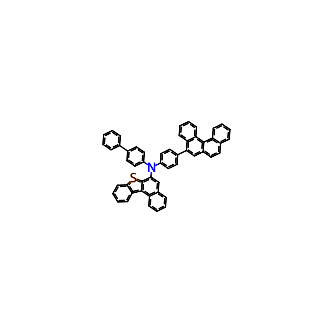 c1ccc(-c2ccc(N(c3ccc(-c4cc5ccc6ccccc6c5c5ccccc45)cc3)c3cc4ccccc4c4c3sc3ccccc34)cc2)cc1